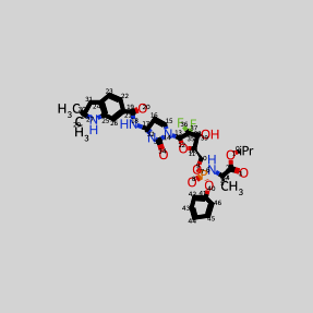 CC(C)OC(=O)[C@@H](C)NP(=O)(OC[C@H]1OC(n2ccc(NC(=O)c3ccc4c(c3)NC(C)(C)C4)nc2=O)C(F)(F)[C@@H]1O)Oc1ccccc1